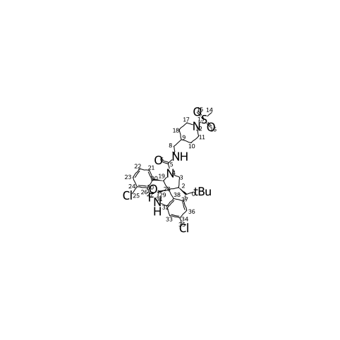 CC(C)(C)C[C@@H]1CN(C(=O)NCC2CCN(S(C)(=O)=O)CC2)[C@H](c2cccc(Cl)c2F)[C@]12C(=O)Nc1cc(Cl)ccc12